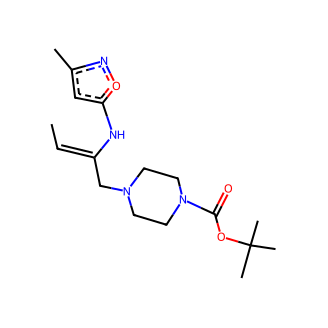 CC=C(CN1CCN(C(=O)OC(C)(C)C)CC1)Nc1cc(C)no1